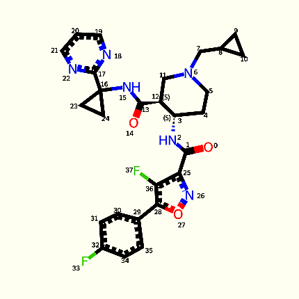 O=C(N[C@H]1CCN(CC2CC2)C[C@@H]1C(=O)NC1(c2ncccn2)CC1)c1noc(-c2ccc(F)cc2)c1F